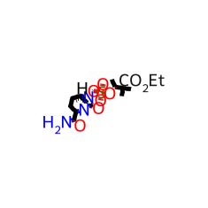 CCOC(=O)C(C)(C)C(C)OS(=O)(=O)ON1C(=O)N2C[C@H]1CCC2C(N)=O